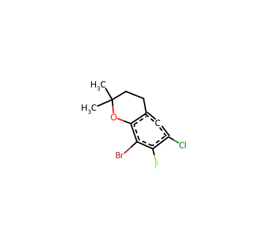 CC1(C)CCc2cc(Cl)c(F)c(Br)c2O1